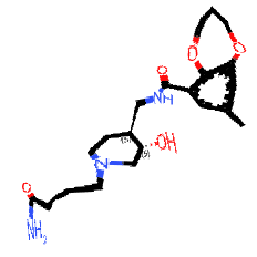 Cc1cc2c(c(C(=O)NC[C@@H]3CCN(CCCC(N)=O)C[C@H]3O)c1)OCCCO2